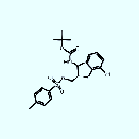 Cc1ccc(S(=O)(=O)OCC2Cc3c(Cl)cccc3C2NC(=O)OC(C)(C)C)cc1